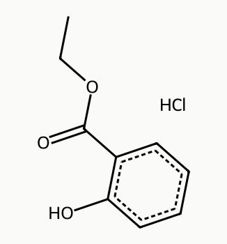 CCOC(=O)c1ccccc1O.Cl